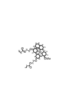 C=CC(=O)OCCOc1ccc(C2(c3ccc(OCCOC(=O)C=C)cc3)c3cc(OC)ccc3-c3ccc4ccccc4c32)cc1